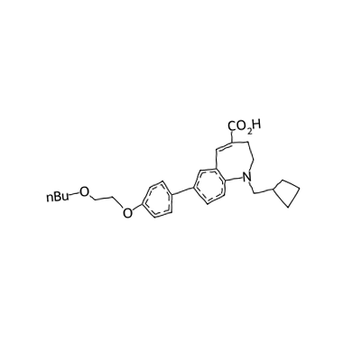 CCCCOCCOc1ccc(-c2ccc3c(c2)C=C(C(=O)O)CCN3CC2CCC2)cc1